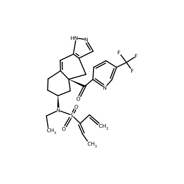 C=C/C(=C\C)S(=O)(=O)N(CC)[C@H]1CCC2=Cc3[nH]ncc3C[C@]2(C(=O)c2ccc(C(F)(F)F)cn2)C1